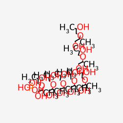 CC(O)COC(C)CO.CC(O)COC(C)CO.CC(O)COC(C)CO.CC(O)COC(C)CO.CC(O)COC(C)CO.CC(O)COC(C)CO.CC(O)COC(C)CO.OP(O)O